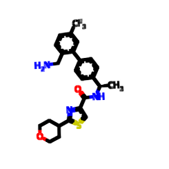 C[C@@H](NC(=O)c1csc(C2CCOCC2)n1)c1ccc(-c2cc(C(F)(F)F)ccc2CN)cc1